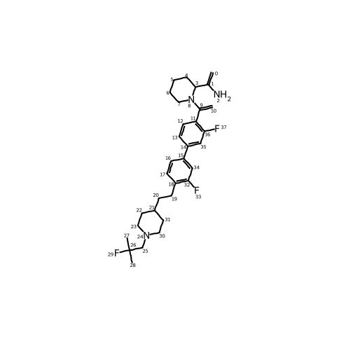 C=C(N)C1CCCCN1C(=C)c1ccc(-c2ccc(CCC3CCN(CC(C)(C)F)CC3)c(F)c2)cc1F